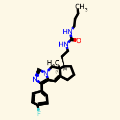 CCCCNC(=O)NCC[C@H]1CCCC2=Cc3c(-c4ccc(F)cc4)ncn3C[C@@]21C